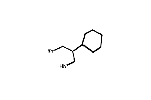 CC(C)CC(C[NH])C1CCCCC1